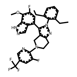 CCc1cccc(CC)c1-n1nc2c(c1-c1cc(F)c(OC)c3[nH]ncc13)CN(c1ncc(C(F)(F)F)cc1F)CC2